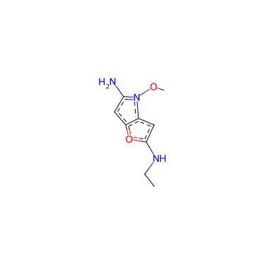 CCNc1cc2c(cc(N)n2OC)o1